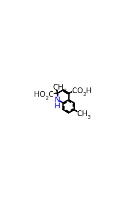 Cc1ccc2c(c1)C(C(=O)O)=CC(C)(C(=O)O)N2